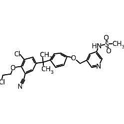 CC(C)(c1ccc(OCc2cncc(NS(C)(=O)=O)c2)cc1)c1cc(Cl)c(OCCCl)c(C#N)c1